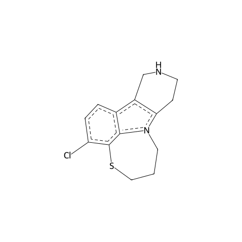 Clc1ccc2c3c(n4c2c1SCCC4)CCNC3